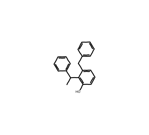 CC(c1ccccc1)c1c(O)cccc1Cc1ccccc1